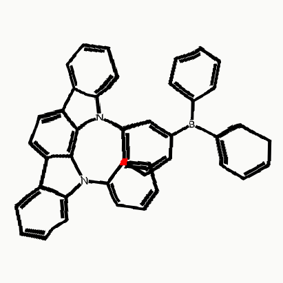 C1=CCCC(B(c2ccccc2)c2cccc(-n3c4ccccc4c4ccc5c6ccccc6n(-c6ccccc6)c5c43)c2)=C1